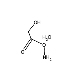 NOC(=O)CO.O